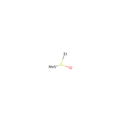 CC[S+]([O-])SC